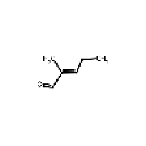 CC/C=C(\C)[C]=O